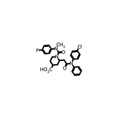 CN(C(=O)N1CCC(C(=O)O)CC1CC(=O)N(c1ccccc1)c1ccc(Cl)cc1)c1ccc(F)cc1